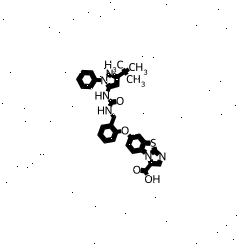 CC(C)(C)c1cc(NC(=O)NCc2ccccc2Oc2ccc3c(c2)sc2ncc(C(=O)O)n23)n(-c2ccccc2)n1